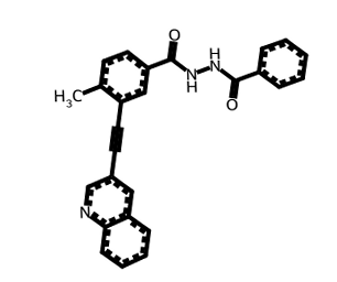 Cc1ccc(C(=O)NNC(=O)c2ccccc2)cc1C#Cc1cnc2ccccc2c1